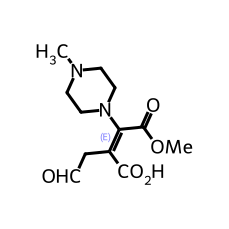 COC(=O)/C(=C(/CC=O)C(=O)O)N1CCN(C)CC1